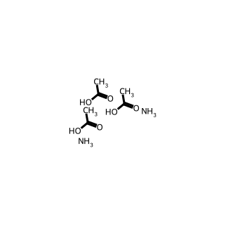 CC(=O)O.CC(=O)O.CC(=O)O.N.N